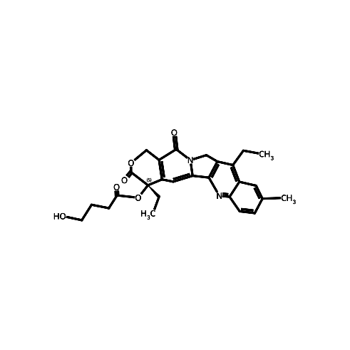 CCc1c2c(nc3ccc(C)cc13)-c1cc3c(c(=O)n1C2)COC(=O)[C@@]3(CC)OC(=O)CCCO